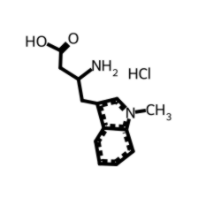 Cl.Cn1cc(CC(N)CC(=O)O)c2ccccc21